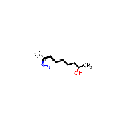 CC(O)CCCCC[C@@H](C)N